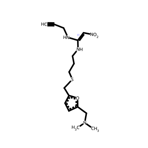 C#CCN/C(=C/[N+](=O)[O-])NCCCSCc1ccc(CN(C)C)o1